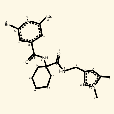 Cc1cc(CNC(=O)C2(NC(=O)c3cc(C(C)(C)C)nc(C(C)(C)C)c3)CCCCC2)nn1C